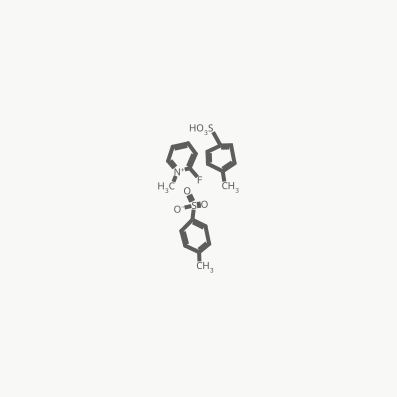 C[n+]1ccccc1F.Cc1ccc(S(=O)(=O)O)cc1.Cc1ccc(S(=O)(=O)[O-])cc1